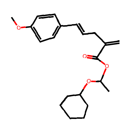 C=C(CC=Cc1ccc(OC)cc1)C(=O)OC(C)OC1CCCCC1